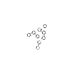 C1=CC(C2=CCC(N(c3ccc(-c4cccc5c4oc4ccccc45)cc3)c3cccc4c3sc3c4ccc4c3c3c(n4-c4ccccc4)CCC=C3)C=C2)CCC1